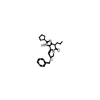 CCCC1C(=O)N2C[C@@H](Cc3ccccc3)C=C2c2[nH]c(C3CCCC3)nc21